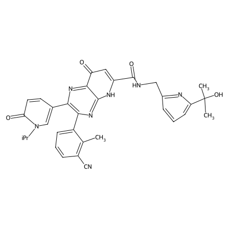 Cc1c(C#N)cccc1-c1nc2[nH]c(C(=O)NCc3cccc(C(C)(C)O)n3)cc(=O)c2nc1-c1ccc(=O)n(C(C)C)c1